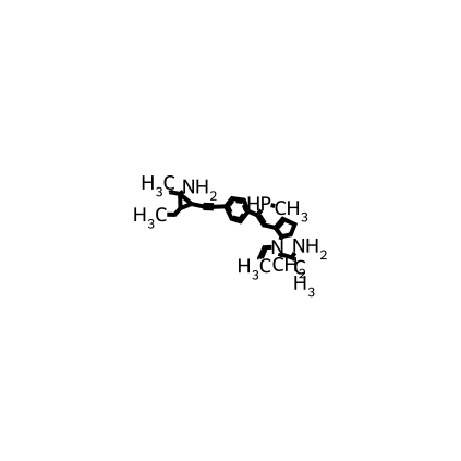 C=C([C@H](C)N)N(/C=C\C)C1CCC=C1/C=C(\PC)c1ccc(C#CC2C(CC)C2(N)CC)cc1